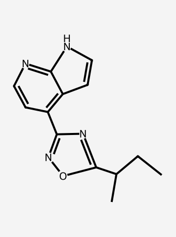 CCC(C)c1nc(-c2ccnc3[nH]ccc23)no1